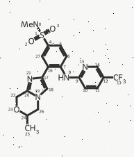 CNS(=O)(=O)c1ccc(Nc2ccc(C(F)(F)F)cn2)c(-c2cn3c(n2)COC(C)C3)c1